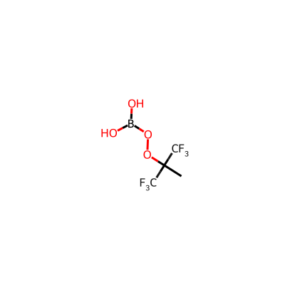 CC(OOB(O)O)(C(F)(F)F)C(F)(F)F